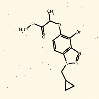 COC(=O)C(C)Oc1ccc2c(nnn2CC2CC2)c1Br